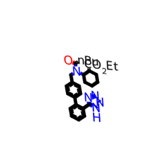 CCCCC(=O)N(Cc1ccc(-c2ccccc2-c2nnn[nH]2)cc1)C1CCCCC1C(=O)OCC